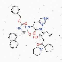 CC(C)C[C@H](NC(=O)C(Cc1c[nH]cn1)NC(=O)[C@H](Cc1cccc2ccccc12)NC(=O)OCc1ccccc1)[C@@H](O)CC(=O)C1(N2CCCCC2)C=CC=CC1